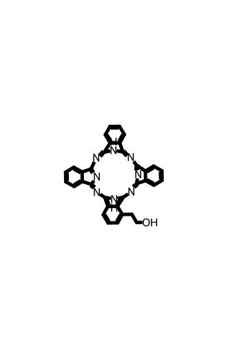 OCCc1cccc2c3nc4nc(nc5[nH]c(nc6nc(nc([nH]3)c12)-c1ccccc1-6)c1ccccc51)-c1ccccc1-4